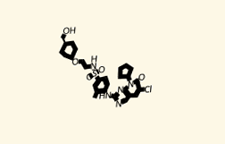 Cc1cc(S(=O)(=O)NCCO[C@H]2CC[C@H](CO)CC2)ccc1Nc1ncc2cc(Cl)c(=O)n(C3CCCC3)c2n1